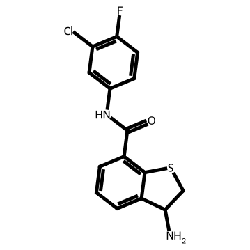 NC1CSc2c(C(=O)Nc3ccc(F)c(Cl)c3)cccc21